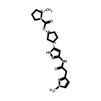 C[C@H]1CCCN1C(=O)O[C@@H]1CC[C@H](c2cc(NC(=O)Cc3ccn(C)n3)n[nH]2)C1